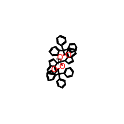 O=C([O][Ti]([O]C(=O)C(c1ccccc1)(c1ccccc1)c1ccccc1)([CH]1C=Cc2ccccc21)[CH]1C=Cc2ccccc21)C(c1ccccc1)(c1ccccc1)c1ccccc1